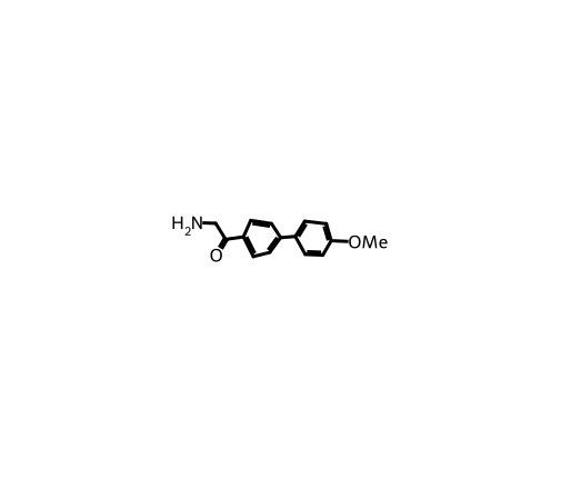 COc1ccc(-c2ccc(C(=O)CN)cc2)cc1